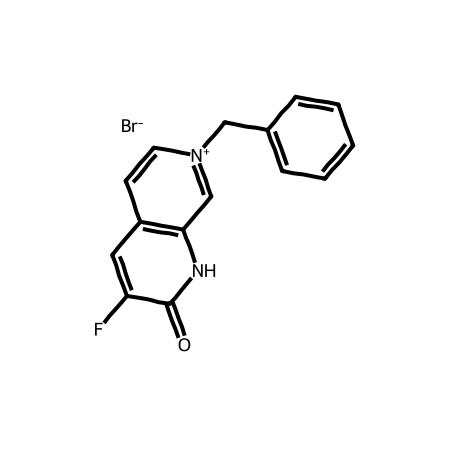 O=c1[nH]c2c[n+](Cc3ccccc3)ccc2cc1F.[Br-]